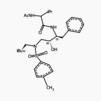 CC[C@H](C)CN(C[C@@H](O)[C@H](Cc1ccccc1)NC(=O)C(NC(C)=O)C(C)C)S(=O)(=O)c1ccc(C)cc1